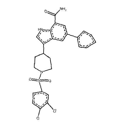 NC(=O)c1cc(-c2ccccc2)cc2c(C3CCN(S(=O)(=O)c4ccc(Cl)c(Cl)c4)CC3)c[nH]c12